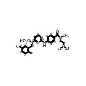 CCN(CC)CCN(C)C(=O)c1ccc(Nc2nccc(N(Cc3cc(Cl)ccc3F)C(=O)O)n2)cc1